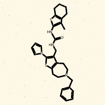 Cc1c(NC(=O)NCc2c(-n3cccc3)sc3c2CCN(Cc2ccccc2)CC3)sc2c1CCCC2